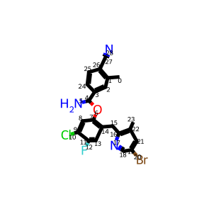 Cc1cc(C(N)Oc2cc(Cl)c(F)cc2Cc2ncc(Br)cc2C)ccc1C#N